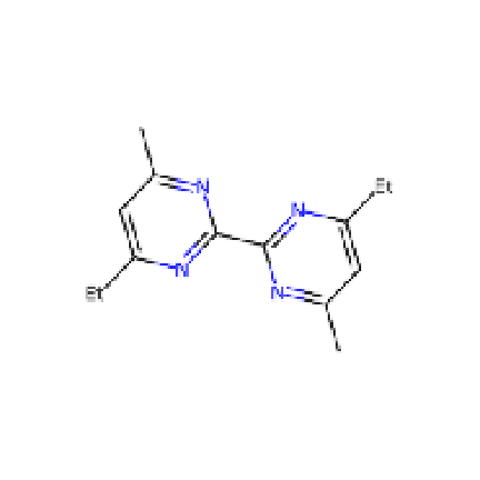 CCc1cc(C)nc(-c2nc(C)cc(CC)n2)n1